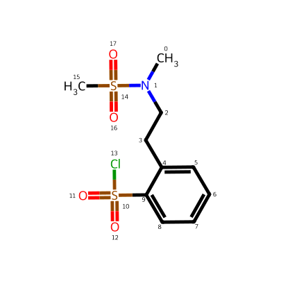 CN(CCc1ccccc1S(=O)(=O)Cl)S(C)(=O)=O